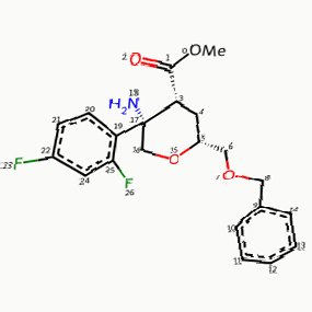 COC(=O)[C@@H]1C[C@H](COCc2ccccc2)OC[C@@]1(N)c1ccc(F)cc1F